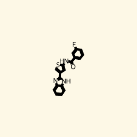 O=C(Nc1cc(-c2nc3ccccc3[nH]2)cs1)c1cccc(F)c1